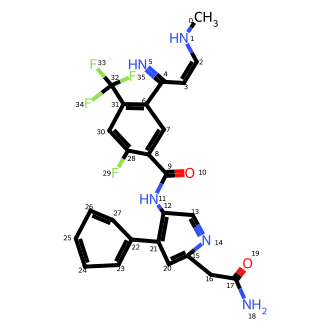 CN/C=C\C(=N)c1cc(C(=O)Nc2cnc(CC(N)=O)cc2-c2ccccc2)c(F)cc1C(F)(F)F